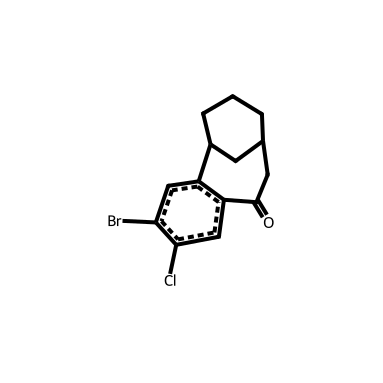 O=C1CC2CCCC(C2)c2cc(Br)c(Cl)cc21